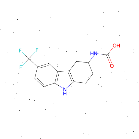 O=C(O)NC1CCc2[nH]c3ccc(C(F)(F)F)cc3c2C1